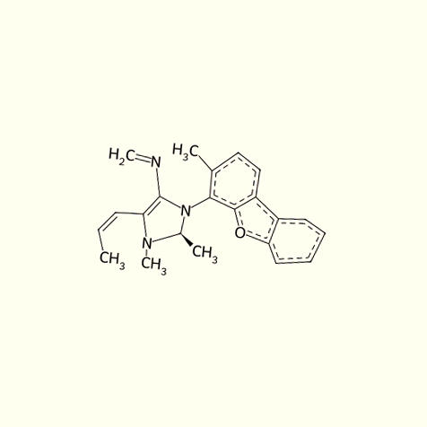 C=NC1=C(/C=C\C)N(C)[C@H](C)N1c1c(C)ccc2c1oc1ccccc12